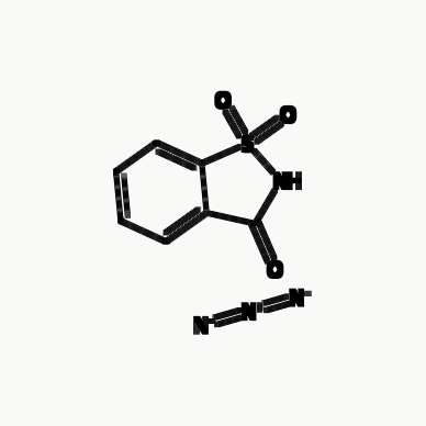 O=C1NS(=O)(=O)c2ccccc21.[N-]=[N+]=[N-]